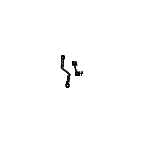 CCO.O=CC=O